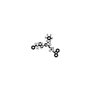 O=C(NCC(=O)N1C[C@H](n2cnc3c(NC(=O)c4ccccc4)ncnc32)C[C@@H]1C(=O)Oc1c(F)c(F)c(F)c(F)c1F)OCC1c2ccccc2-c2ccccc21